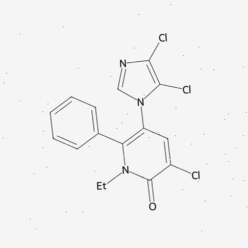 CCn1c(-c2ccccc2)c(-n2cnc(Cl)c2Cl)cc(Cl)c1=O